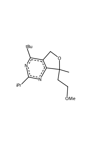 COCCC1(C)OCc2c(C(C)(C)C)nc(C(C)C)nc21